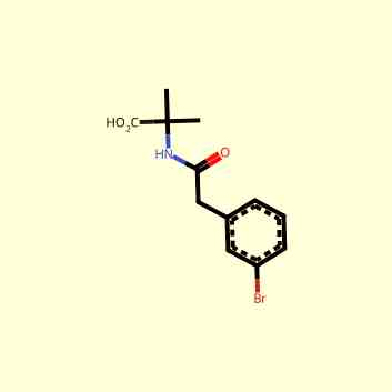 CC(C)(NC(=O)Cc1cccc(Br)c1)C(=O)O